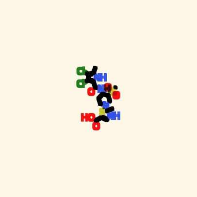 Cc1[nH]c(C(=O)NC2CCN(C3(C)NC=C(C(=O)O)S3)CC2S(C)(=O)=O)c(Cl)c1Cl